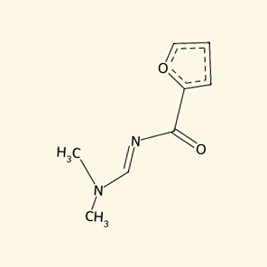 CN(C)/C=N/C(=O)c1ccco1